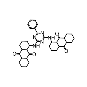 O=C1C2CCCCC2C(=O)C2C(Nc3nc(NC4CCCC5C(=O)C6CCCCC6C(=O)C45)nc(-c4ccccc4)n3)CCCC12